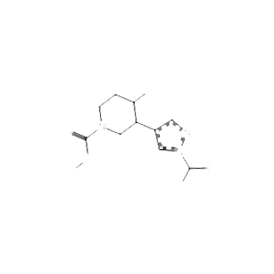 CC(C)(C)OC(=O)N1CCC(C(=O)O)C(c2cnn(C(F)F)c2)C1